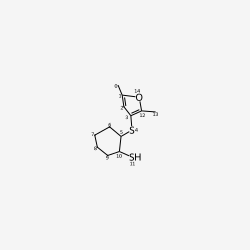 Cc1cc(SC2CCCCC2S)c(C)o1